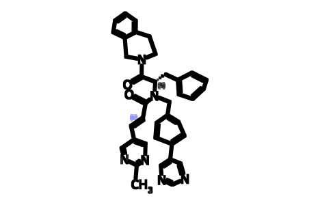 Cc1ncc(/C=C/C(=O)N(Cc2ccc(-c3cncnc3)cc2)[C@@H](Cc2ccccc2)C(=O)N2CCc3ccccc3C2)cn1